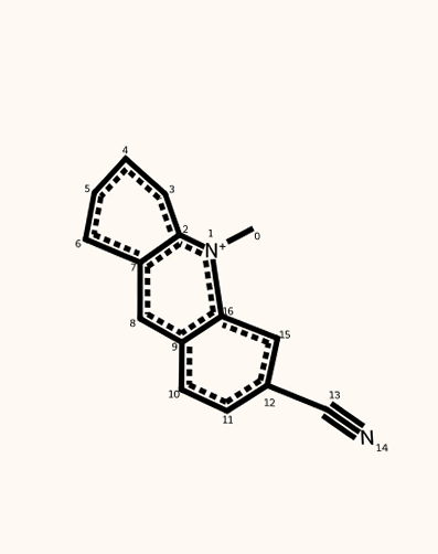 C[n+]1c2ccccc2cc2ccc(C#N)cc21